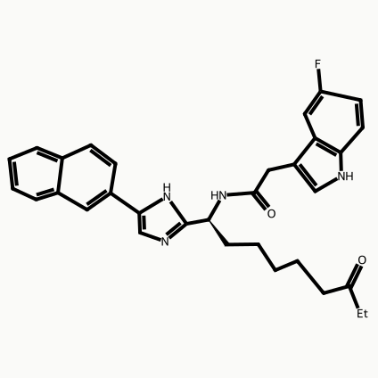 CCC(=O)CCCCC[C@H](NC(=O)Cc1c[nH]c2ccc(F)cc12)c1ncc(-c2ccc3ccccc3c2)[nH]1